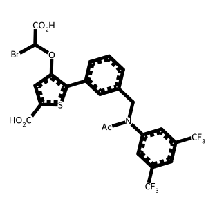 CC(=O)N(Cc1cccc(-c2sc(C(=O)O)cc2OC(Br)C(=O)O)c1)c1cc(C(F)(F)F)cc(C(F)(F)F)c1